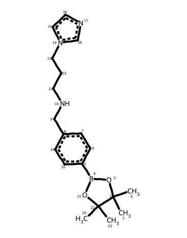 CC1(C)OB(c2ccc(CNCCCn3ccnc3)cc2)OC1(C)C